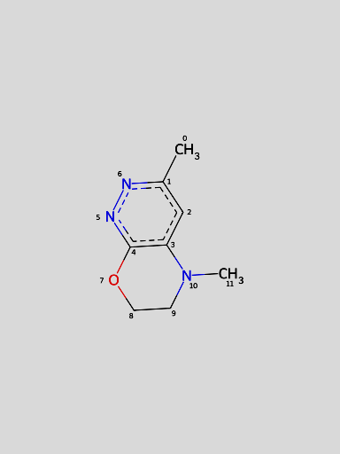 Cc1cc2c(nn1)OCCN2C